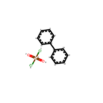 O=S(=O)(Cl)Cl.c1ccc(-c2ccccc2)cc1